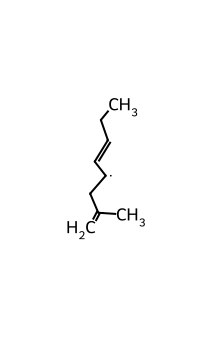 C=C(C)C[CH]C=CCC